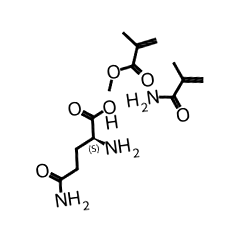 C=C(C)C(=O)OC.C=C(C)C(N)=O.NC(=O)CC[C@H](N)C(=O)O